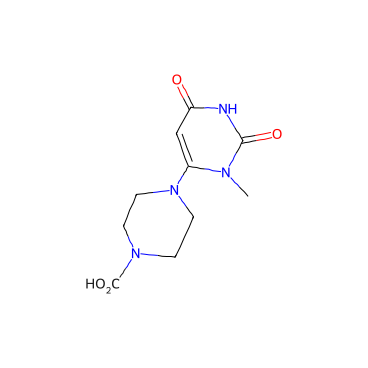 Cn1c(N2CCN(C(=O)O)CC2)cc(=O)[nH]c1=O